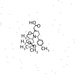 Cc1ccc(C2CC[C@H](CC(=O)O)C(=O)N2C(CS(=O)(=O)C(C)C)C(C)C)cc1